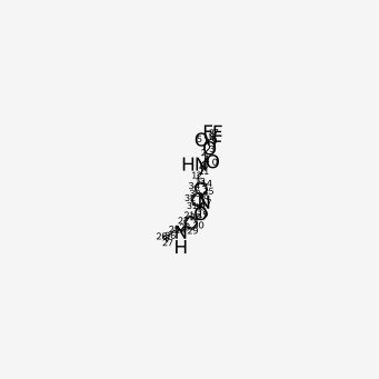 O=C(COC(=O)C(F)(F)F)NCCc1ccc2nc(Oc3ccc(NCC4CC4)cc3)ccc2c1